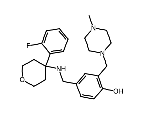 CN1CCN(Cc2cc(CNC3(c4ccccc4F)CCOCC3)ccc2O)CC1